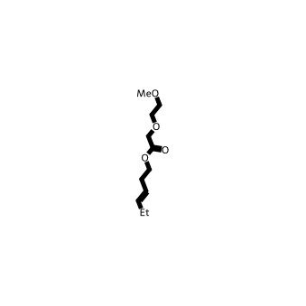 CCC=CCCOC(=O)COCCOC